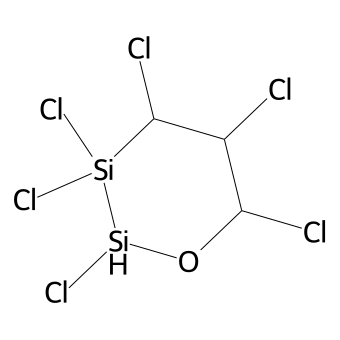 ClC1O[SiH](Cl)[Si](Cl)(Cl)C(Cl)C1Cl